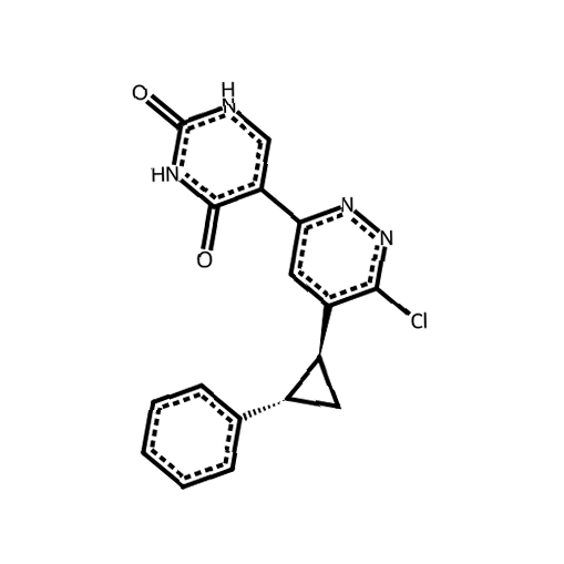 O=c1[nH]cc(-c2cc([C@H]3C[C@@H]3c3ccccc3)c(Cl)nn2)c(=O)[nH]1